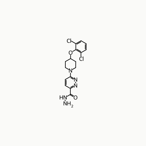 NNC(=O)c1ccc(N2CCC(Oc3c(Cl)cccc3Cl)CC2)nn1